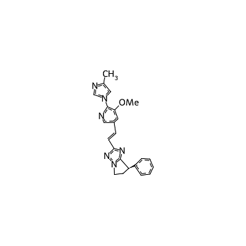 COc1cc(/C=C/c2nc3n(n2)CC[C@@H]3c2ccccc2)cnc1-n1cnc(C)c1